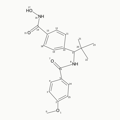 COc1ccc(C(=O)NC(c2ccc(C(=O)NO)cc2)C(C)(C)C)cc1